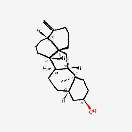 C=C1CCC[C@@]23CC[C@H]4[C@@H](CC[C@@H]5C[C@H](O)CC[C@@]54C)[C@@H]2CC[C@H]13